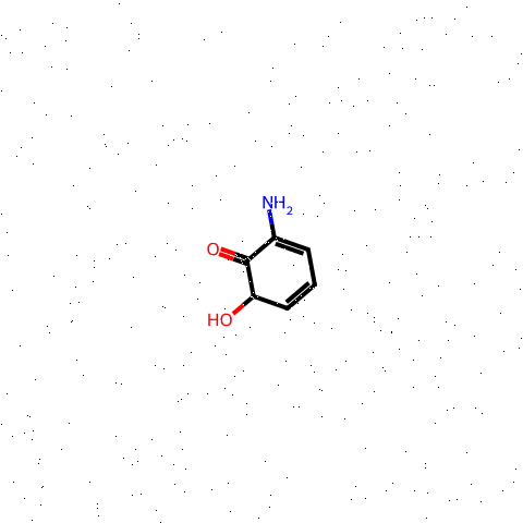 NC1=CC=CC(O)C1=O